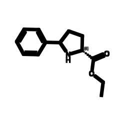 CCOC(=O)[C@H]1CCC(c2ccccc2)N1